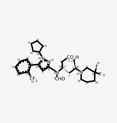 C[C@H](C[C@@H](CC(=O)O)N(C=O)c1cc(-c2ccccc2C(F)(F)F)n(C2CCCC2)n1)N1CCCC(F)(F)C1